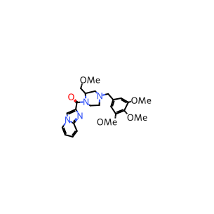 COCC1CN(Cc2cc(OC)c(OC)c(OC)c2)CCN1C(=O)c1cn2ccccc2n1